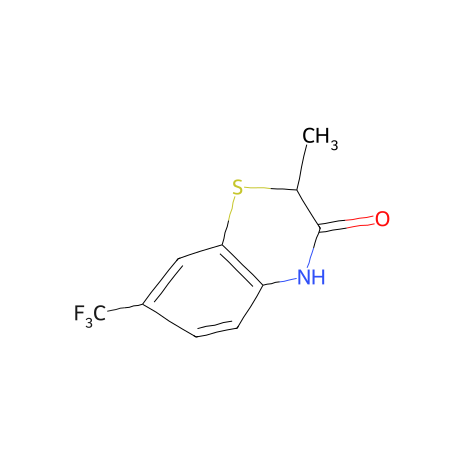 CC1Sc2cc(C(F)(F)F)ccc2NC1=O